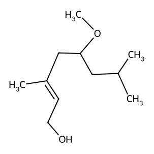 COC(CC(C)=CCO)CC(C)C